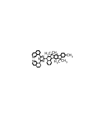 Cc1ccc2c(c1)C(C)(C)c1cc3c(cc1-2)C(C)(C)C1=CC(c2nc(-c4cccc5ccncc45)nc(C4CC=Cc5ccncc54)n2)C2C=CC=CC2=C13